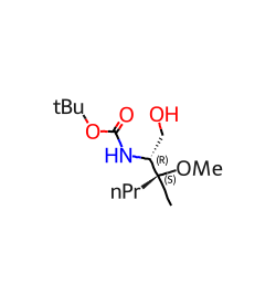 CCC[C@](C)(OC)[C@@H](CO)NC(=O)OC(C)(C)C